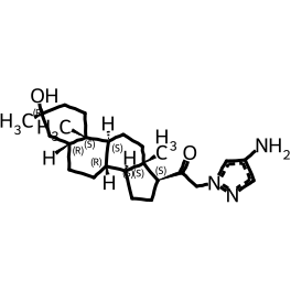 C[C@@]1(O)CC[C@@]2(C)[C@H](CC[C@@H]3[C@@H]2CC[C@]2(C)[C@@H](C(=O)Cn4cc(N)cn4)CC[C@@H]32)C1